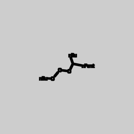 CCCCCC(CCCC)OOOCCCC